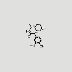 COc1cc(C(C(=O)O)[C@@H]2C[C@H](C)CC[C@H]2C(C)C)ccc1O